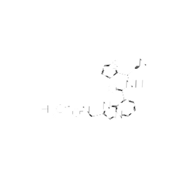 CCON=Cc1cn2cccc(C(=O)NC(C#N)c3cccs3)c2n1